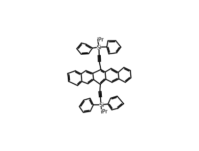 CC(C)[Si](C#Cc1c2cc3ccccc3cc2c(C#C[Si](c2ccccc2)(c2ccccc2)C(C)C)c2cc3ccccc3cc12)(c1ccccc1)c1ccccc1